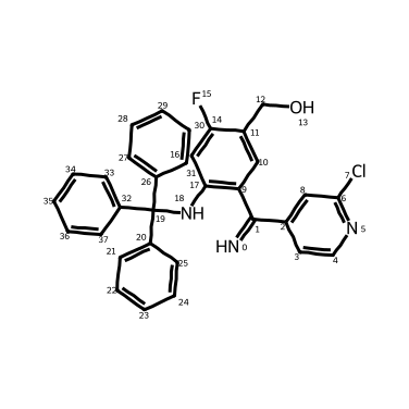 N=C(c1ccnc(Cl)c1)c1cc(CO)c(F)cc1NC(c1ccccc1)(c1ccccc1)c1ccccc1